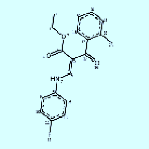 CCOC(=O)C(=CNc1ccc(F)cc1)C(=O)c1ccccc1C